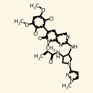 C=CC(=O)NC1CN(c2ccn(C)n2)CC1Nc1ncc2cc(-c3c(Cl)c(OC)cc(OC)c3Cl)c(=O)n(C)c2n1